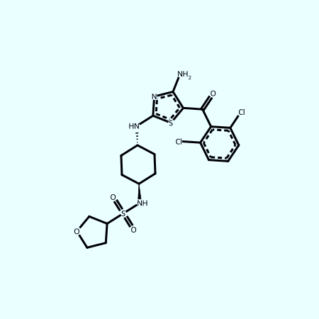 Nc1nc(N[C@H]2CC[C@H](NS(=O)(=O)C3CCOC3)CC2)sc1C(=O)c1c(Cl)cccc1Cl